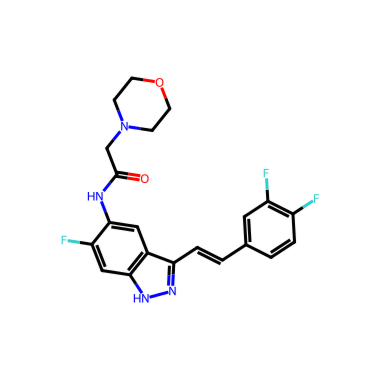 O=C(CN1CCOCC1)Nc1cc2c(C=Cc3ccc(F)c(F)c3)n[nH]c2cc1F